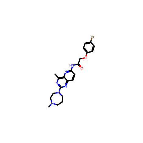 Cc1nc(N2CCCN(C)CC2)nc2ccc(NC(=O)COc3ccc(Br)cc3)nc12